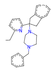 CCc1cccc(C2(N3CCN(Cc4ccccc4)CC3)Cc3ccccc3C2)n1